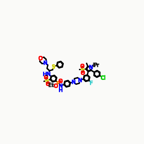 CCOP(=O)(Nc1ccc(N2CCN(c3cc(F)cc(-c4c(S(C)(=O)=O)c(C)n(C(C)C)c4-c4ccc(Cl)cc4)c3)CC2)cc1)c1ccc(NC(CCN2CCOCC2)CSc2ccccc2)c(S(C)(=O)=O)c1